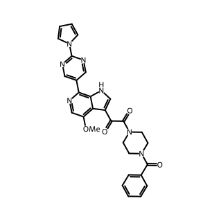 COc1cnc(-c2cnc(-n3cccc3)nc2)c2[nH]cc(C(=O)C(=O)N3CCN(C(=O)c4ccccc4)CC3)c12